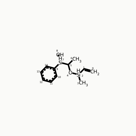 C=C[SiH](C)OC(C)[SiH](O)c1ccccc1